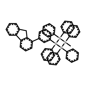 C[Si]1(c2ccccc2)[Si](c2ccccc2)(c2ccccc2)[Si](c2ccccc2)(c2cccc(-c3cccc4c3Cc3ccccc3-4)c2)[Si]1(c1ccccc1)c1ccccc1